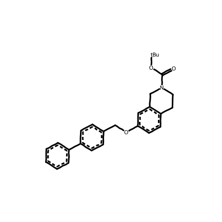 CC(C)(C)OC(=O)N1CCc2ccc(OCc3ccc(-c4ccccc4)cc3)cc2C1